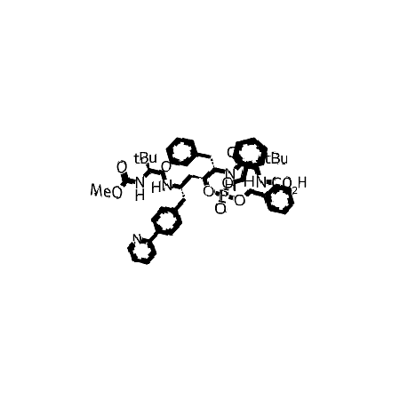 COC(=O)N[C@H](C(=O)N[C@@H](Cc1ccc(-c2ccccn2)cc1)C[C@H](OP(=O)(OCc1ccccc1)OCc1ccccc1)[C@H](Cc1ccccc1)NC(=O)[C@@H](NC(=O)O)C(C)(C)C)C(C)(C)C